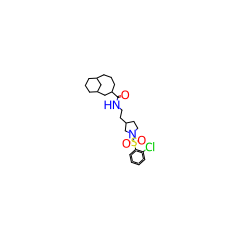 O=C(NCCC1CCN(S(=O)(=O)c2ccccc2Cl)C1)C1CCCC2CCCC(C2)C1